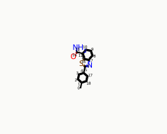 Cc1ccc(-c2nc3cccc(C(N)=O)c3s2)cc1